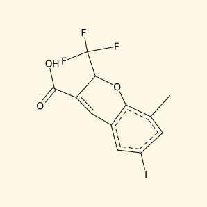 Cc1cc(I)cc2c1OC(C(F)(F)F)C(C(=O)O)=C2